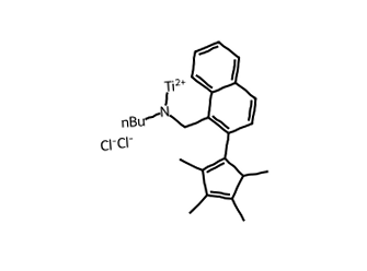 CCCC[N]([Ti+2])Cc1c(C2=C(C)C(C)=C(C)C2C)ccc2ccccc12.[Cl-].[Cl-]